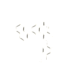 N#CCc1ccc(N/C=C2\C(=O)NC(=O)c3ccc(-c4cccc5ccccc45)cc32)cc1